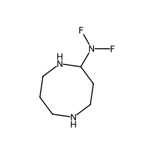 FN(F)C1CCNCCCN1